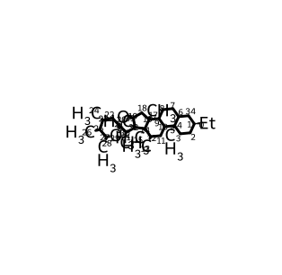 CC[C@H]1CC[C@@]2(C)C(CCC3C2CC(C)[C@@]2(C)C3(C)CC3OC4(CC(C)C(C)C(C)O4)[C@@H](C)C32C)C1